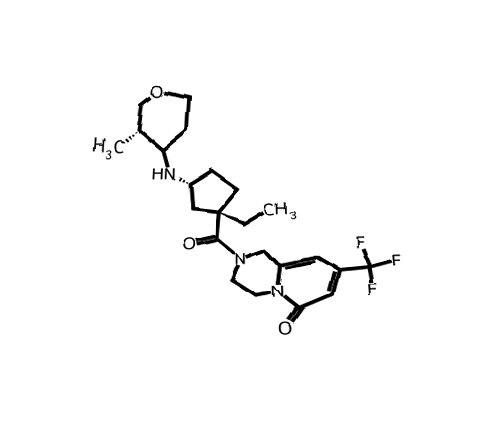 CC[C@]1(C(=O)N2CCn3c(cc(C(F)(F)F)cc3=O)C2)CC[C@@H](NC2CCOC[C@H]2C)C1